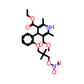 CCOC(=O)C1=C(C)NC(C)=C(C(=O)OC)C1c1ccccc1OCC(C)(C)CO[N+](=O)[O-]